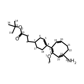 COC1=C(C2=CCC(CCC(=O)OC(C)(C)C)CC2)/C=C\CC/C(N)=C\1